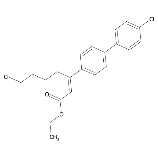 CCOC(=O)C=C(CCCCCl)c1ccc(-c2ccc(Cl)cc2)cc1